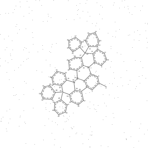 Cc1cc2c3c(c1)N1c4ccccc4C(c4ccccc4)(c4ccccc4)c4cccc(c41)B3N1c3ccccc3S(c3ccccc3)(c3ccccc3)c3cccc-2c31